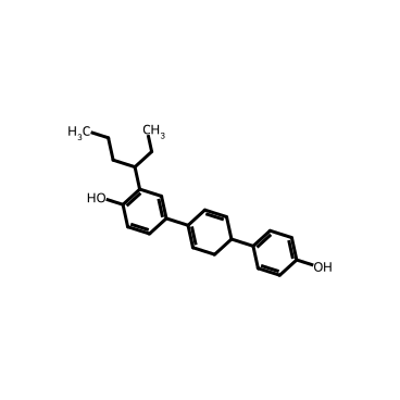 CCCC(CC)c1cc(C2=CCC(c3ccc(O)cc3)C=C2)ccc1O